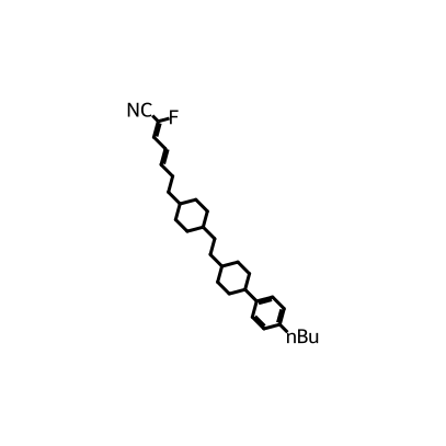 CCCCc1ccc(C2CCC(CCC3CCC(CCC=CC=C(F)C#N)CC3)CC2)cc1